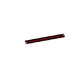 S=S=S=S=S=S=S=S=S=S=S=S=S=S=S=S=S=S=S=S=S=S=S=S=S=S=S=S=S=S=S=S=S=S=S=S=S=S=S=S=S=S=S=S=S=S=S=S=S=S=S=S=S=S=S=S=S=S=S=S=S=S=S=S=S=S=S=S=S=S=S=S=S=S=S=S=S=S=S=S=S=S=S=S=S=S=S=S=S=S=S=S=S=S=S=S=S=S=S=S=S=S=S=S=S=S=S=S=S=S=S=S=S=S=S=S=S=S=S=S=S=S=S=S=S=S=S=S=S=S=S=S=S=S=S=S=S=S=S=S=S=S=S=S